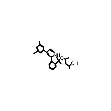 Cc1cc(C)cc(C2=CC(c3ccccc3C(C)(C)OC(C)CC(C)O)NC=C2)c1